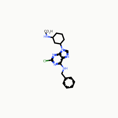 O=C(O)NC1CCCC(n2cnc3c(NCc4ccccc4)nc(Cl)nc32)C1